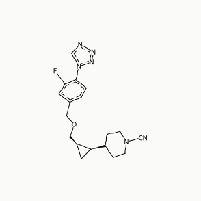 N#CN1CCC([C@H]2C[C@H]2COCc2ccc(-n3cnnn3)c(F)c2)CC1